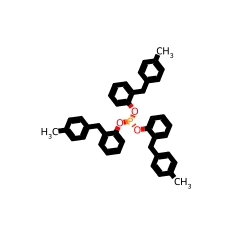 Cc1ccc(Cc2ccccc2OP(Oc2ccccc2Cc2ccc(C)cc2)Oc2ccccc2Cc2ccc(C)cc2)cc1